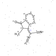 [C-]#[N+]/C(C#N)=C1/c2ccccc2C(=O)C1C